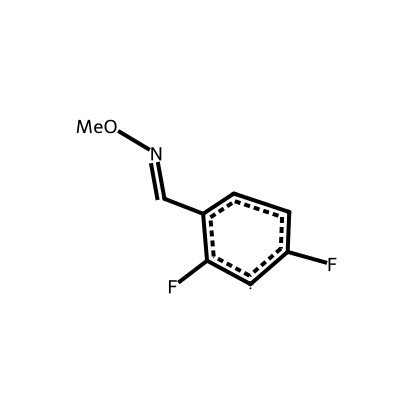 CON=Cc1ccc(F)[c]c1F